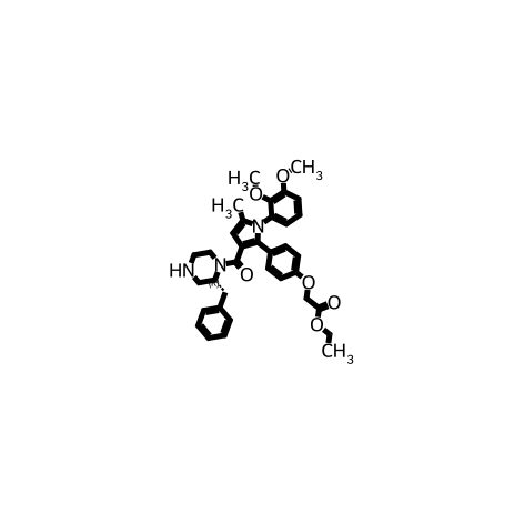 CCOC(=O)COc1ccc(-c2c(C(=O)N3CCNC[C@H]3Cc3ccccc3)cc(C)n2-c2cccc(OC)c2OC)cc1